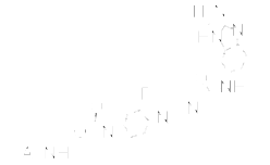 CC(=O)NCC1CN(c2ccc(N3CCN(CC(=O)Nc4ccc5nc(N)[nH]c5c4)CC3)c(F)c2)C(=O)O1